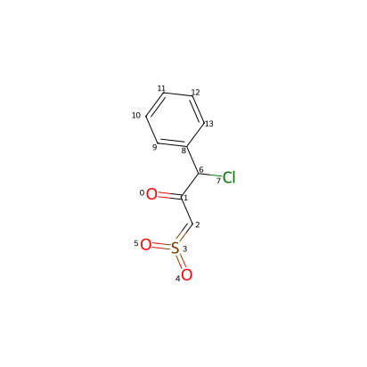 O=C(C=S(=O)=O)C(Cl)c1ccccc1